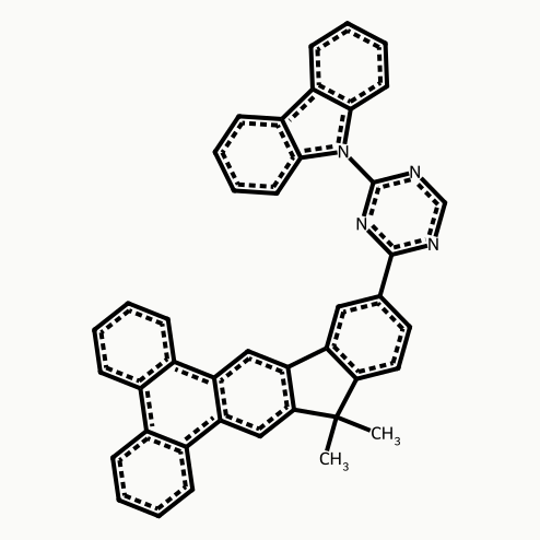 CC1(C)c2ccc(-c3ncnc(-n4c5ccccc5c5ccccc54)n3)cc2-c2cc3c4ccccc4c4ccccc4c3cc21